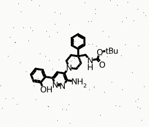 CC(C)(C)OC(=O)NCC1(c2ccccc2)CCN(c2cc(-c3ccccc3O)nnc2N)CC1